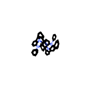 c1ccc(N(c2ccccc2)c2cccc3c4cccc5c6nc7c(cc6n(c23)c45)c2cccc3c4cc5ccccc5c(N(c5ccccc5)c5ccccc5)c4n7c23)cc1